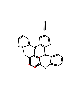 N#Cc1ccc(N2c3ccccc3Sc3ccccc32)c(N2c3ccccc3Sc3ccccc32)c1